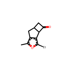 CCc1oc(C)c2c1C1C(=O)CC1C2